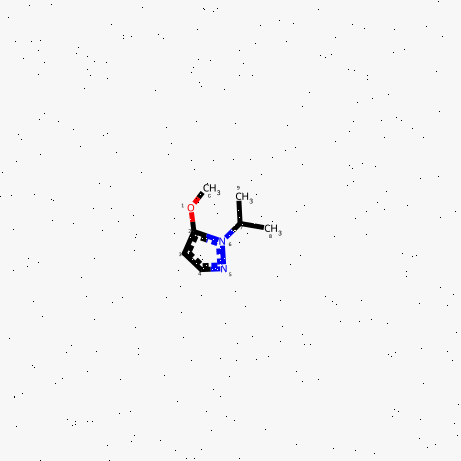 COc1c[c]nn1C(C)C